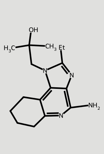 CCc1nc2c(N)nc3c(c2n1CC(C)(C)O)CCCC3